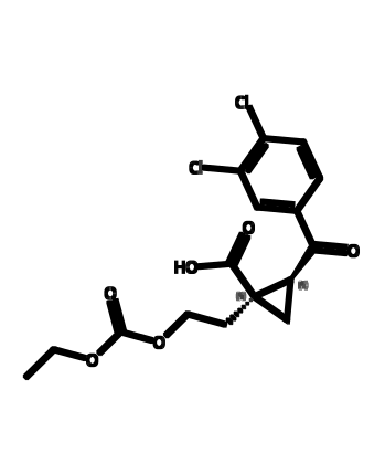 CCOC(=O)OCC[C@@]1(C(=O)O)C[C@@H]1C(=O)c1ccc(Cl)c(Cl)c1